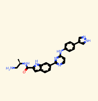 C[C@H](CN)NC(=O)c1cc2ccc(-c3nccc(Nc4ccc(-c5cn[nH]c5)cc4)n3)cc2[nH]1